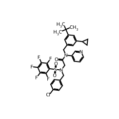 CC(C)(C)c1cc(CN(C(=O)CN(Cc2ccc(Cl)cc2)S(=O)(=O)c2c(F)c(F)c(F)c(F)c2F)c2cccnc2)cc(C2CC2)c1